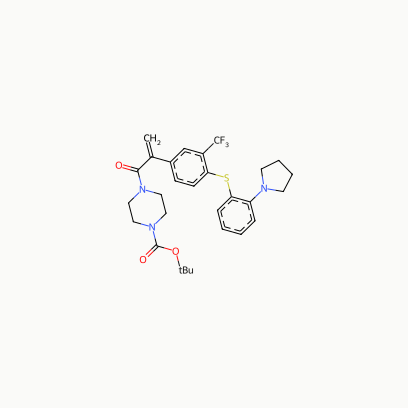 C=C(C(=O)N1CCN(C(=O)OC(C)(C)C)CC1)c1ccc(Sc2ccccc2N2CCCC2)c(C(F)(F)F)c1